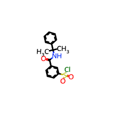 CC(C)(NC(=O)c1cccc(S(=O)(=O)Cl)c1)c1ccccc1